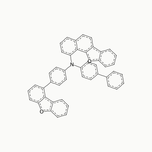 c1ccc(-c2ccc(N(c3ccc(-c4cccc5oc6ccccc6c45)cc3)c3cccc4ccc5c6ccccc6oc5c34)cc2)cc1